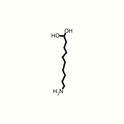 NCCCCCCCCCC(O)O